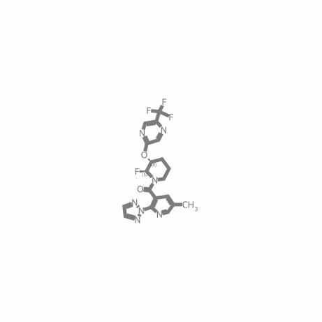 Cc1cnc(-n2nccn2)c(C(=O)N2CCC[C@@H](Oc3cnc(C(F)(F)F)cn3)[C@@H]2F)c1